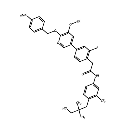 CCOc1cc(-c2ccc(CC(=O)Nc3ccc(CC(C)(C)CO)c(C(F)(F)F)c3)c(F)c2)cnc1OCc1ccc(OC)cc1